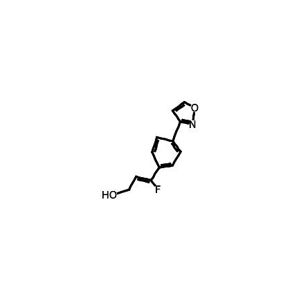 OCC=C(F)c1ccc(-c2ccon2)cc1